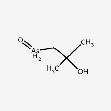 CC(C)(O)C[AsH2]=O